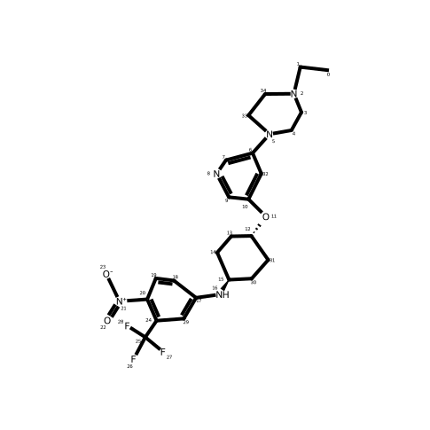 CCN1CCN(c2cncc(O[C@H]3CC[C@H](Nc4ccc([N+](=O)[O-])c(C(F)(F)F)c4)CC3)c2)CC1